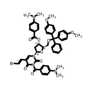 COc1ccc(C(OC[C@H]2O[C@@H](n3cc(/C=C/Br)c(=O)n(C(=O)c4ccc(N(C)C)cc4)c3=O)C[C@@H]2OC(=O)c2ccc(N(C)C)cc2)(c2ccccc2)c2ccc(OC)cc2)cc1